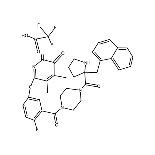 Cc1c(Cc2ccc(F)c(C(=O)N3CCN(C(=O)C4(Cc5cccc6ccccc56)CCCN4)CC3)c2)n[nH]c(=O)c1C.O=C(O)C(F)(F)F